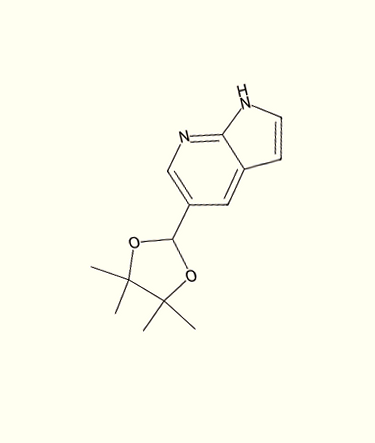 CC1(C)OC(c2cnc3[nH]ccc3c2)OC1(C)C